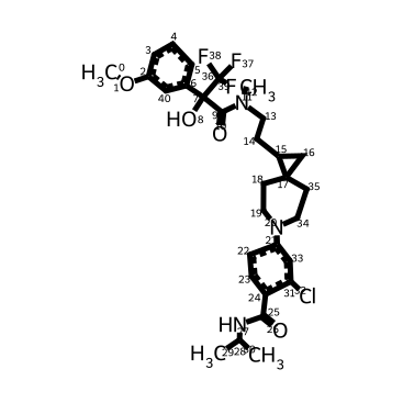 COc1cccc(C(O)(C(=O)N(C)CCC2CC23CCN(c2ccc(C(=O)NC(C)C)c(Cl)c2)CC3)C(F)(F)F)c1